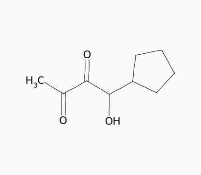 CC(=O)C(=O)C(O)C1CCCC1